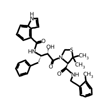 Cc1ccccc1CNC(=O)[C@H]1N(C(=O)[C@@H](O)[C@H](Cc2ccccc2)NC(=O)c2cccc3[nH]ccc23)CSC1(C)C